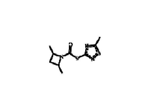 Cc1nc(SC(=O)N2C(C)CC2C)ns1